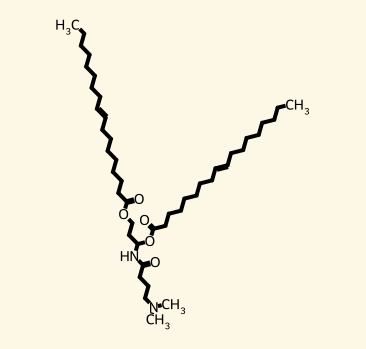 CCCCCCCCC=CCCCCCCCC(=O)OCCC(NC(=O)CCCN(C)C)OC(=O)CCCCCCCC=CCCCCCCCC